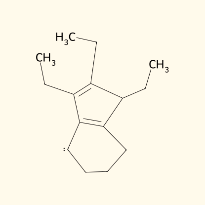 CCC1=C(CC)C(CC)C2=C1[C]CCC2